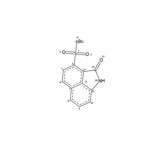 CCCCS(=O)(=O)c1ccc2cccc3c2c1C(=O)N3